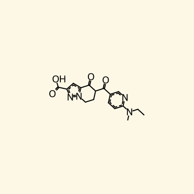 CCN(C)c1ccc(C(=O)C2CCn3nc(C(=O)O)cc3C2=O)cn1